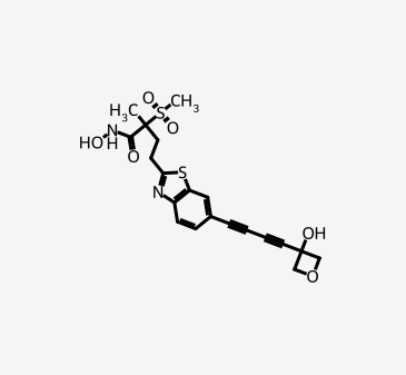 CC(CCc1nc2ccc(C#CC#CC3(O)COC3)cc2s1)(C(=O)NO)S(C)(=O)=O